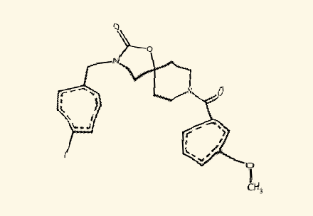 COc1cccc(C(=O)N2CCC3(CC2)CN(Cc2ccc(I)cc2)C(=O)O3)c1